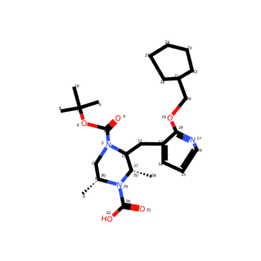 C[C@@H]1CN(C(=O)OC(C)(C)C)C(Cc2cccnc2OCC2CCCCC2)[C@H](C)N1C(=O)O